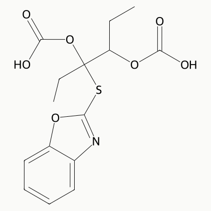 CCC(OC(=O)O)C(CC)(OC(=O)O)Sc1nc2ccccc2o1